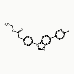 CCOC(=O)Cc1ccc(-n2cnc3cc(-c4ccc(F)nc4)ccc32)cc1